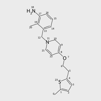 Cc1ccc(CCOC2=CCN(Cc3cccc(N)c3C)C=C2)s1